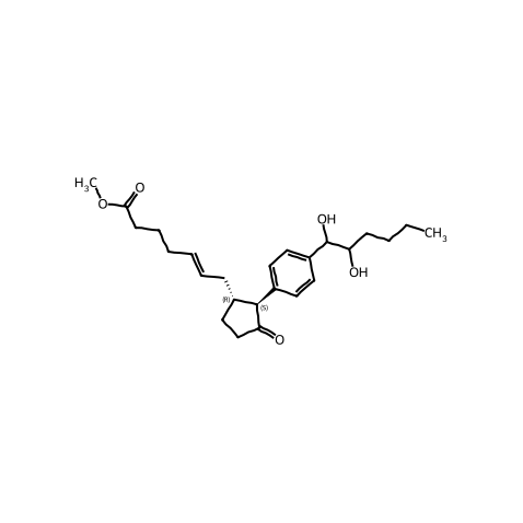 CCCCC(O)C(O)c1ccc([C@H]2C(=O)CC[C@@H]2CC=CCCCC(=O)OC)cc1